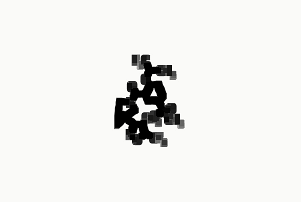 Cc1c(C23CC2CN(C(=O)c2cc(S(C)(=O)=O)ccc2OC(C)C(F)(F)F)C3)noc1C(F)(F)F